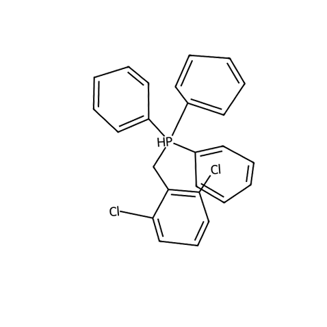 Clc1cccc(Cl)c1C[PH](c1ccccc1)(c1ccccc1)c1ccccc1